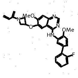 C=CC(=C)N1CC(Oc2cc3c(Nc4cc(-c5ccccc5F)ccc4OC)ncnc3cc2OC)C1